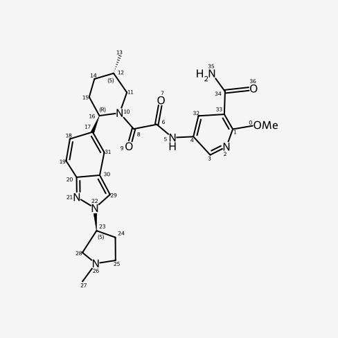 COc1ncc(NC(=O)C(=O)N2C[C@@H](C)CC[C@@H]2c2ccc3nn([C@H]4CCN(C)C4)cc3c2)cc1C(N)=O